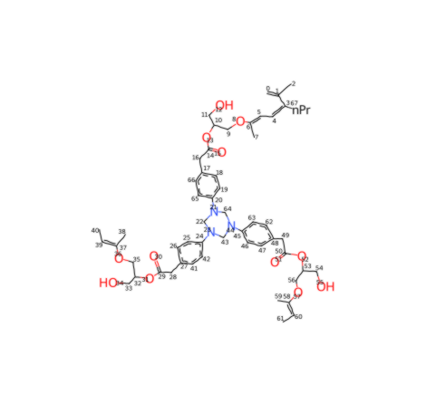 C=C(C)/C(=C\C=C(/C)OCC(CO)OC(=O)Cc1ccc(N2CN(c3ccc(CC(=O)OC(CO)CO/C(C)=C/C)cc3)CN(c3ccc(CC(=O)OC(CO)CO/C(C)=C/C)cc3)C2)cc1)CCC